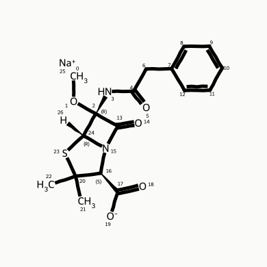 CO[C@]1(NC(=O)Cc2ccccc2)C(=O)N2[C@@H](C(=O)[O-])C(C)(C)S[C@@H]21.[Na+]